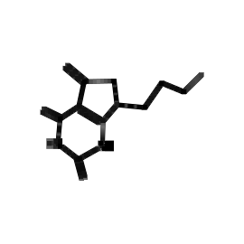 C=C1NC(=C)C2=C(N1)C(CCCC)CC2=C